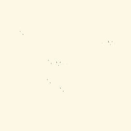 COc1ccc(Cc2cc(NCc3ccncc3C)nc(C)n2)c(OC)c1